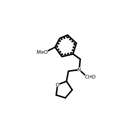 COc1cccc(CN([C]=O)CC2CCCO2)c1